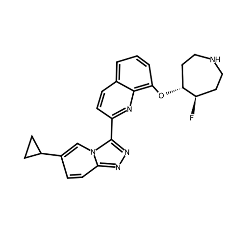 F[C@@H]1CCNCC[C@H]1Oc1cccc2ccc(-c3nnc4ccc(C5CC5)cn34)nc12